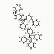 c1ccc(-c2cccc(N(c3cccc(-c4ccc5c(c4)c(-c4ccccc4)c(-c4ccccc4)c4ccccc45)c3)c3ccc4oc5ccccc5c4c3)c2)cc1